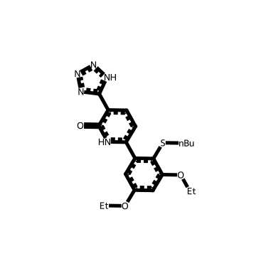 CCCCSc1c(OCC)cc(OCC)cc1-c1ccc(-c2nnn[nH]2)c(=O)[nH]1